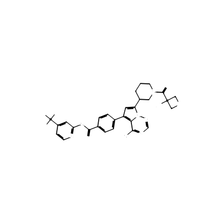 CC1(C(=O)N2CCCC(c3cc(-c4ccc(C(=O)Nc5cc(C(F)(F)F)ccn5)cc4)c4c(N)ncnn34)C2)COC1